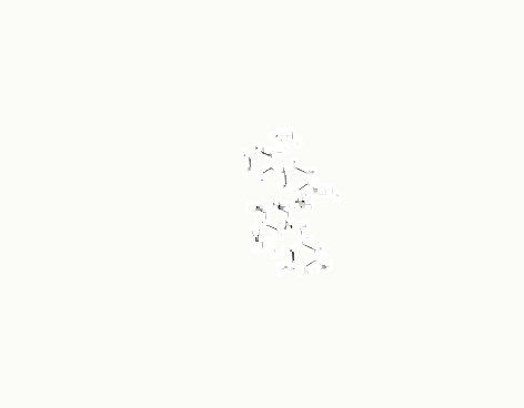 COc1ncccc1-c1ccc(C)c(Nc2nc(=O)c(OC)cn2Cc2cc(F)cc(F)c2)c1